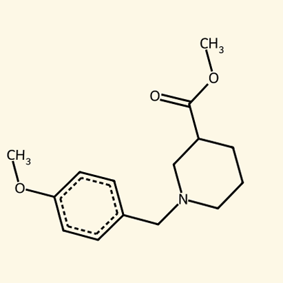 COC(=O)C1CCCN(Cc2ccc(OC)cc2)C1